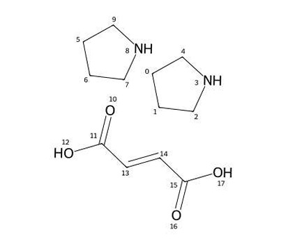 C1CCNC1.C1CCNC1.O=C(O)C=CC(=O)O